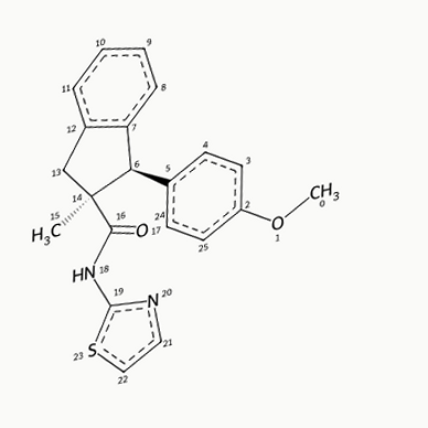 COc1ccc([C@@H]2c3ccccc3C[C@]2(C)C(=O)Nc2nccs2)cc1